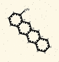 CCCc1cccc2cc3cc4ccccc4cc3cc12